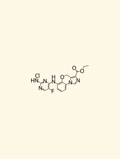 CCOC(=O)c1ncn2c1COc1c(Nc3nc(NCl)ncc3F)cccc1-2